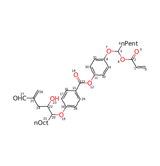 C=CC(=O)OC(CCCCC)Oc1ccc(OC(=O)c2ccc(OC(CCCCCCCC)C(O)CC(=C)C=O)cc2)cc1